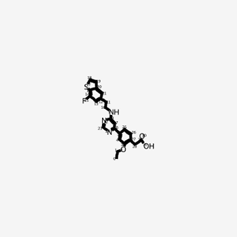 CCOc1cc(-c2cc(NCCc3cc(F)c4sccc4c3)ncn2)ccc1CC(=O)O